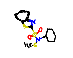 CSN(C1CCCCC1)S(=O)(=O)c1nc2ccccc2s1